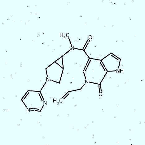 C=CCn1cc(C(=O)N(C)C2C3CN(c4ccncn4)CC32)c2cc[nH]c2c1=O